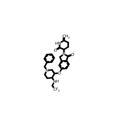 C=C1CCC(N2Cc3cc(OC4CN(Cc5ccccc5)CCC4NCC(F)(F)F)ccc3C2=O)C(=O)N1